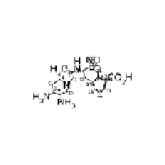 C=C(CN1CCC(N)C(N)C1)NC1Cc2cccc(C(=O)O)c2OB1N=O